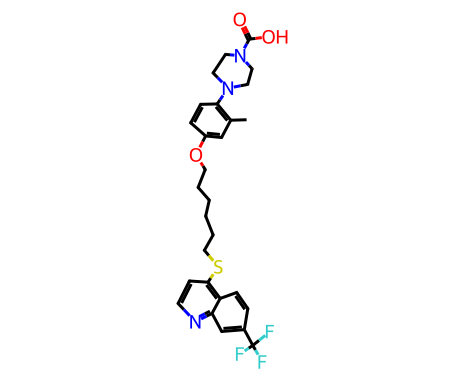 Cc1cc(OCCCCCCSc2ccnc3cc(C(F)(F)F)ccc23)ccc1N1CCN(C(=O)O)CC1